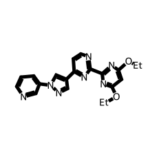 CCOc1cc(OCC)nc(-c2nccc(-c3cnn(-c4cccnc4)c3)n2)n1